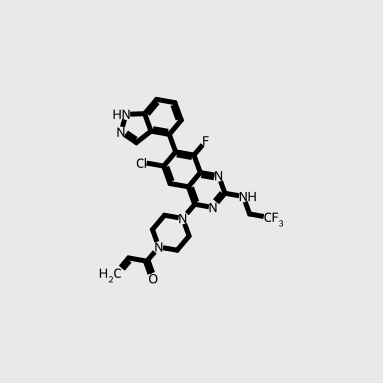 C=CC(=O)N1CCN(c2nc(NCC(F)(F)F)nc3c(F)c(-c4cccc5[nH]ncc45)c(Cl)cc23)CC1